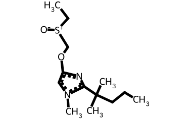 CCCC(C)(C)c1nc(OC[S+]([O-])CC)cn1C